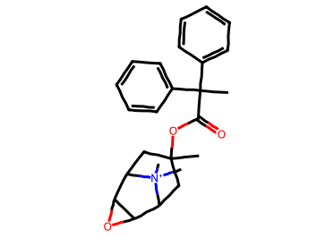 CC1(OC(=O)C(C)(c2ccccc2)c2ccccc2)CC2C3OC3C(C1)[N+]2(C)C